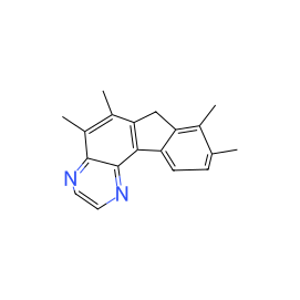 Cc1ccc2c(c1C)Cc1c(C)c(C)c3nccnc3c1-2